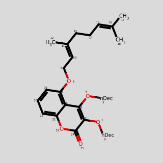 CCCCCCCCCCOc1c(OCCCCCCCCCC)c2c(OC/C=C(\C)CCC=C(C)C)cccc2oc1=O